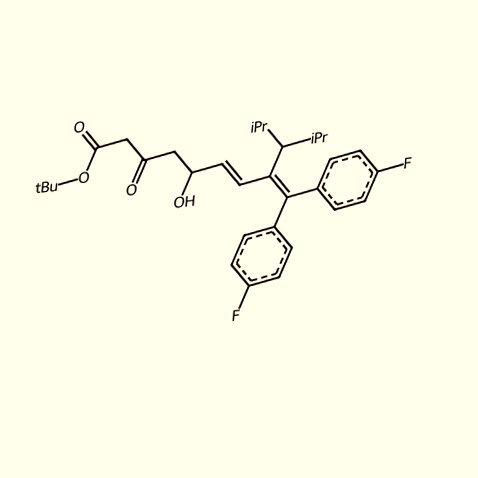 CC(C)C(C(C=CC(O)CC(=O)CC(=O)OC(C)(C)C)=C(c1ccc(F)cc1)c1ccc(F)cc1)C(C)C